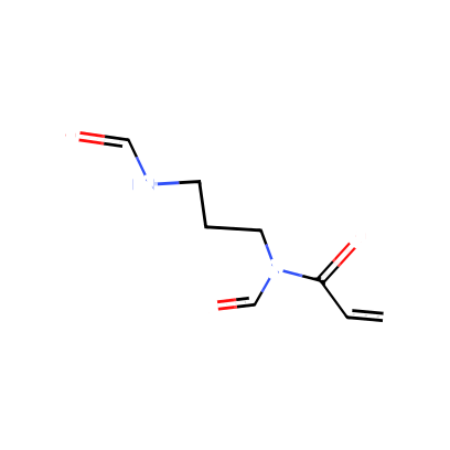 C=CC(=O)N(C=O)CCCNC=O